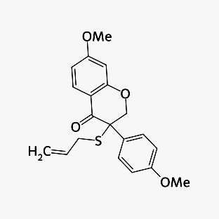 C=CCSC1(c2ccc(OC)cc2)COc2cc(OC)ccc2C1=O